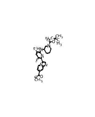 COC(=O)c1ccn2c(-c3nc(NC4CCCN(C(=O)OC(C)(C)C)C4)c(F)cc3F)cnc2c1